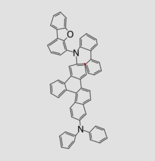 c1ccc(-c2ccccc2N(c2ccc3c(c2)c2ccccc2c2c4ccc(N(c5ccccc5)c5ccccc5)cc4ccc32)c2cccc3c2oc2ccccc23)cc1